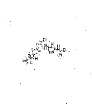 CCC(ONC(=N)NC(=N)NC(C)C)Oc1ccc(NS(=O)(=O)C(F)(F)F)cc1